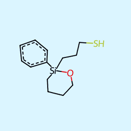 SCCC[Si]1(c2ccccc2)CCCCO1